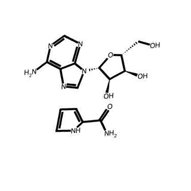 NC(=O)c1ccc[nH]1.Nc1ncnc2c1ncn2[C@@H]1O[C@H](CO)[C@@H](O)[C@H]1O